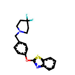 FC1(F)CCN(Cc2ccc(Oc3nc4ccccc4s3)cc2)CC1